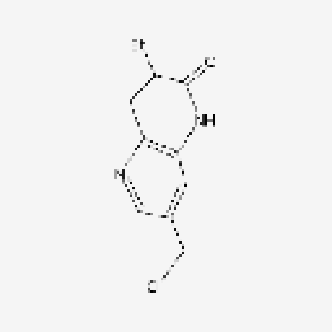 CCC1Cc2ncc(CCl)cc2NC1=O